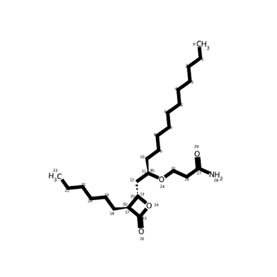 CCCCCCCCCCC[C@H](C[C@@H]1OC(=O)[C@H]1CCCCCC)OCCC(N)=O